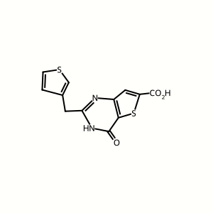 O=C(O)c1cc2nc(Cc3ccsc3)[nH]c(=O)c2s1